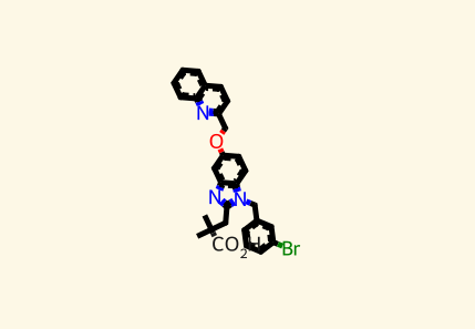 CC(C)(Cc1nc2cc(OCc3ccc4ccccc4n3)ccc2n1Cc1cccc(Br)c1)C(=O)O